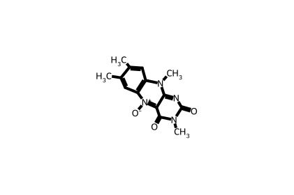 Cc1cc2c(cc1C)[n+]([O-])c1c(=O)n(C)c(=O)nc-1n2C